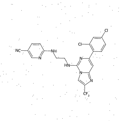 N#Cc1ccc(NCCNc2nc(-c3ccc(Cl)cc3Cl)cc3nc(C(F)(F)F)cn23)nc1